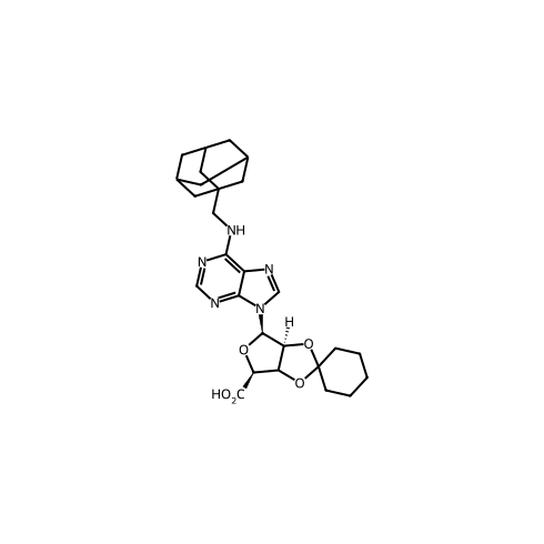 O=C(O)[C@H]1O[C@@H](n2cnc3c(NCC45CC6CC(CC(C6)C4)C5)ncnc32)[C@H]2OC3(CCCCC3)OC12